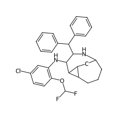 FC(F)Oc1ccc(Cl)cc1NC1C(C(c2ccccc2)c2ccccc2)NC2CCCC3C(C2)C31